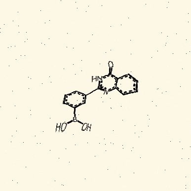 O=c1[nH]c(-c2cccc(B(O)O)c2)nc2ccccc12